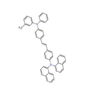 Cc1cccc(N(c2ccccc2)c2ccc(/C=C/c3ccc(N(c4cccc5ccccc45)c4cccc5ccccc45)cc3)cc2)c1